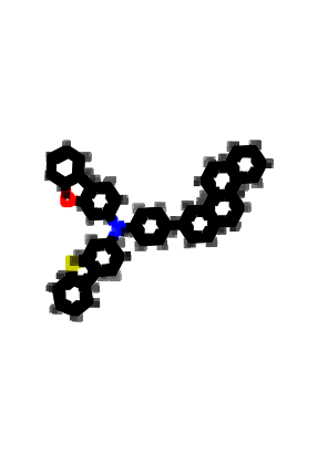 C1=CCC2Oc3cc(N(c4ccc(-c5ccc6ccc7c8ccccc8ccc7c6c5)cc4)c4ccc5c(c4)sc4ccccc45)ccc3C2=C1